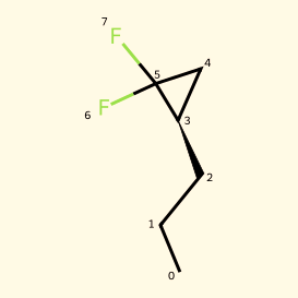 CCC[C@@H]1CC1(F)F